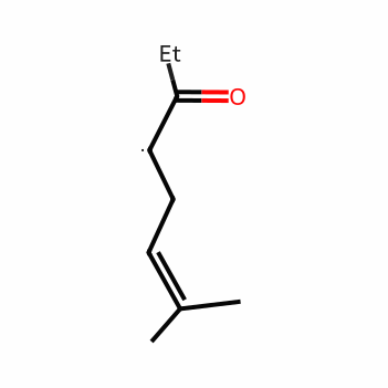 CCC(=O)[CH]CC=C(C)C